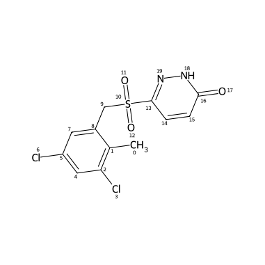 Cc1c(Cl)cc(Cl)cc1CS(=O)(=O)c1ccc(=O)[nH]n1